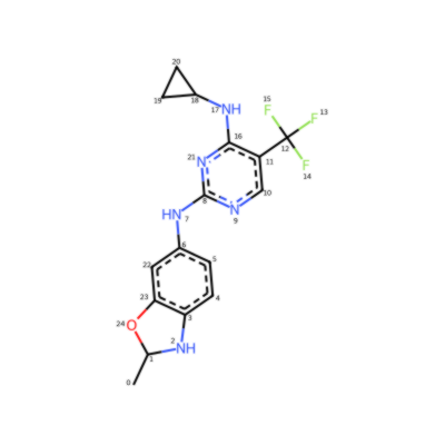 CC1Nc2ccc(Nc3ncc(C(F)(F)F)c(NC4CC4)n3)cc2O1